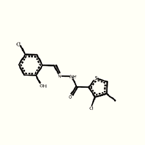 Cc1csc(C(=O)NN=Cc2cc(Cl)ccc2O)c1Cl